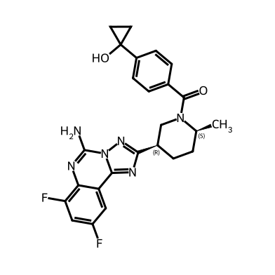 C[C@H]1CC[C@@H](c2nc3c4cc(F)cc(F)c4nc(N)n3n2)CN1C(=O)c1ccc(C2(O)CC2)cc1